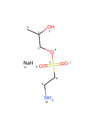 CC(O)COS(=O)(=O)CCN.[NaH]